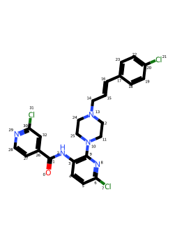 O=C(Nc1ccc(Cl)nc1N1CCN(CC=Cc2ccc(Cl)cc2)CC1)c1ccnc(Cl)c1